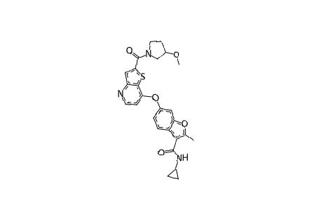 COC1CCN(C(=O)c2cc3nccc(Oc4ccc5c(C(=O)NC6CC6)c(C)oc5c4)c3s2)C1